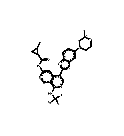 [2H]C([2H])([2H])Nc1ncc(-c2nc3cc(N4CCO[C@H](C)C4)ccc3o2)c2cc(NC(=O)C3CC3C)ncc12